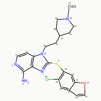 Nc1nccc2c1nc(Sc1cc3occc3cc1Cl)n2CCC1CCN(C=O)CC1